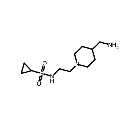 NCC1CCN(CCNS(=O)(=O)C2CC2)CC1